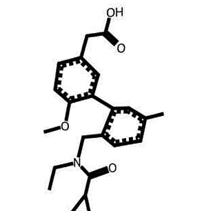 CCN(Cc1ccc(C)cc1-c1cc(CC(=O)O)ccc1OC)C(=O)C1CC1